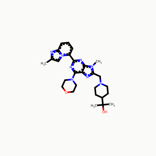 Cc1cn2c(-c3nc(N4CCOCC4)c4nc(CN5CCC(C(C)(C)O)CC5)n(C)c4n3)cccc2n1